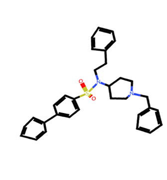 O=S(=O)(c1ccc(-c2ccccc2)cc1)N(CCc1ccccc1)C1CCN(Cc2ccccc2)CC1